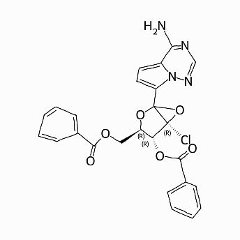 Nc1ncnn2c(C34O[C@H](COC(=O)c5ccccc5)[C@@H](OC(=O)c5ccccc5)[C@]3(Cl)O4)ccc12